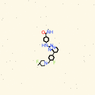 CNC(=O)c1ccc(Nc2nc3c(-c4ccc(CN5CCC(C)(F)CC5)c(F)c4)cccn3n2)cc1